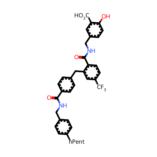 CCCCCc1ccc(CNC(=O)c2ccc(Cc3cc(C(F)(F)F)ccc3C(=O)NCc3ccc(O)c(C(=O)O)c3)cc2)cc1